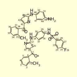 Cc1ccccc1C(=O)c1cnc(Nc2ccc(NS(=O)(=O)c3ccc(F)cc3)cc2)s1.Cc1ccccc1C(=O)c1csc(Nc2ccc(N)cc2)n1